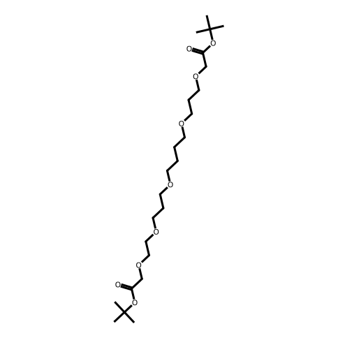 CC(C)(C)OC(=O)COCCCOCCCCOCCCOCCOCC(=O)OC(C)(C)C